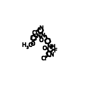 COc1ccc(Cl)c(-n2c(=O)n(CC3CCC(NC(=O)c4cc(Cl)cnc4C(F)F)CC3)c3cnccc32)c1